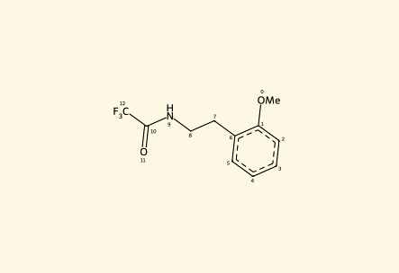 COc1ccccc1CCNC(=O)C(F)(F)F